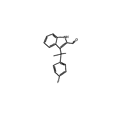 CC(C)(c1ccc(F)cc1)c1c(C=O)[nH]c2ccccc12